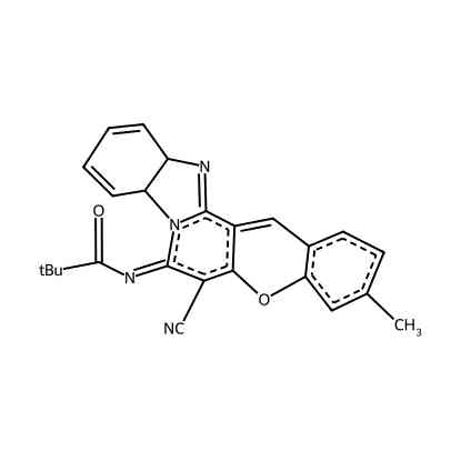 Cc1ccc2c(c1)Oc1c(C#N)/c(=N/C(=O)C(C)(C)C)n3c(c1=C2)=NC1C=CC=CC13